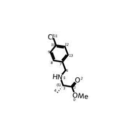 COC(=O)[C@H](C)NCc1ccc(Cl)cc1